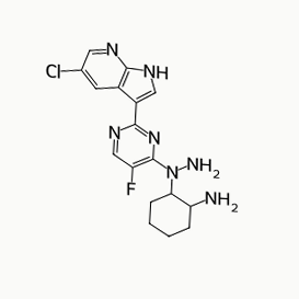 NC1CCCCC1N(N)c1nc(-c2c[nH]c3ncc(Cl)cc23)ncc1F